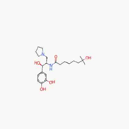 CC(C)(O)CCCCCC(=O)N[C@H](CN1CCCC1)[C@H](O)c1ccc(O)c(O)c1